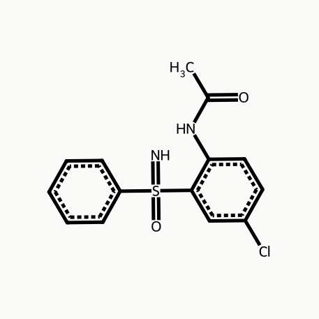 CC(=O)Nc1ccc(Cl)cc1S(=N)(=O)c1ccccc1